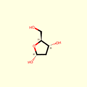 OC[C@@H]1O[C@@H](O)C[C@H]1O